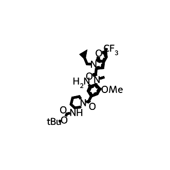 COc1cc(C(=O)N2CCC[C@@H](NC(=O)OC(C)(C)C)C2)cc(N)c1N(C)C(=O)c1cc2cc(C(F)(F)F)oc2n1CC1CC1